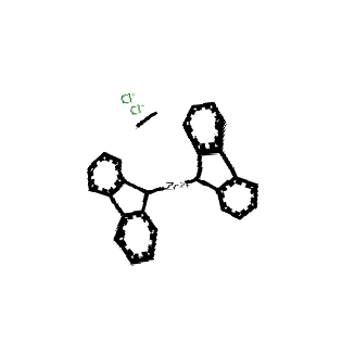 CC.[Cl-].[Cl-].c1ccc2c(c1)-c1ccccc1[CH]2[Zr+2][CH]1c2ccccc2-c2ccccc21